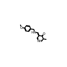 COc1ccc(CN/C=C(\C=N)C(=O)C(C)C)cc1